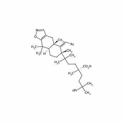 CCCC(C)(C)CC[C@@](C)(CCC(C)(C)[C@]1(C)CC[C@H]2C(C)(C)c3oncc3C[C@]2(C)/C1=C/C(C)=O)C(=O)O